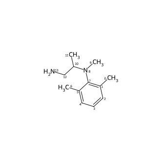 Cc1cccc(C)c1N(C)C(C)CN